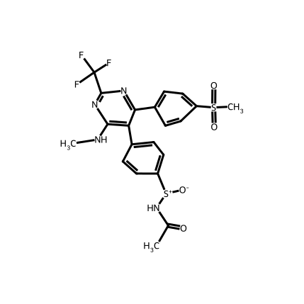 CNc1nc(C(F)(F)F)nc(-c2ccc(S(C)(=O)=O)cc2)c1-c1ccc([S+]([O-])NC(C)=O)cc1